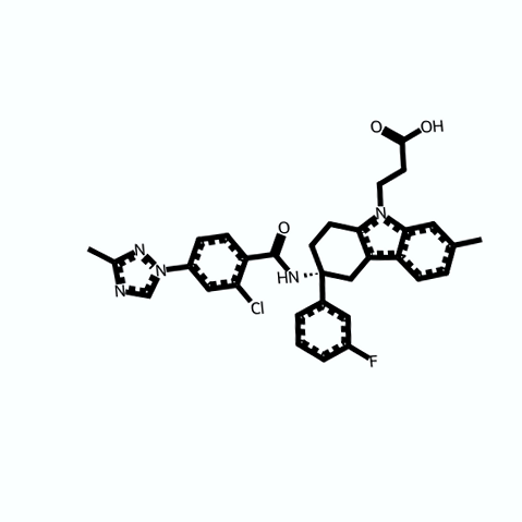 Cc1ccc2c3c(n(CCC(=O)O)c2c1)CC[C@](NC(=O)c1ccc(-n2cnc(C)n2)cc1Cl)(c1cccc(F)c1)C3